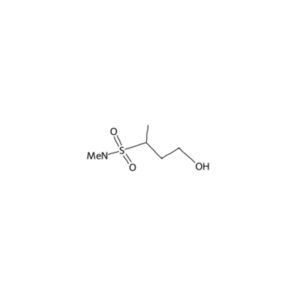 CNS(=O)(=O)C(C)CCO